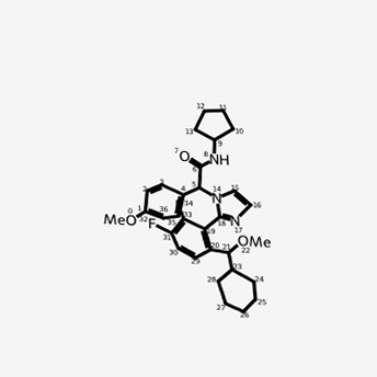 COc1ccc(C(C(=O)NC2CCCC2)n2ccnc2-c2c(C(OC)C3CCCCC3)ccc(F)c2F)cc1